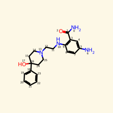 NC(=O)c1cc(N)ccc1NCCN1CCC(O)(c2ccccc2)CC1